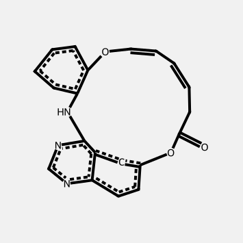 O=C1C/C=C\C=C/Oc2ccccc2Nc2ncnc3ccc(cc23)O1